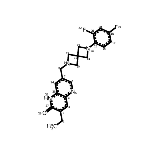 CCc1cc2ncc(CN3CC4(C3)CN(c3ccc(F)cc3F)C4)cc2[nH]c1=O